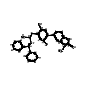 Cn1c(=O)oc2ccc(-c3cc(F)c(CC(C#N)N=C(c4ccccc4)c4ccccc4)cc3F)cc21